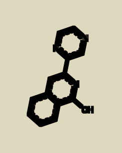 Oc1nc(-c2cnccn2)cc2ccccc12